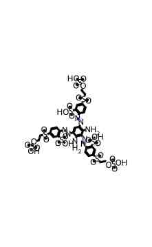 Nc1c(/N=N/c2ccc(S(=O)(=O)CCOS(=O)(=O)O)cc2S(=O)(=O)O)cc(/N=N/c2ccc(S(=O)(=O)CCOS(=O)(=O)O)cc2S(=O)(=O)O)c(N)c1/N=N/c1ccc(S(=O)(=O)CCOS(=O)(=O)O)cc1S(=O)(=O)O